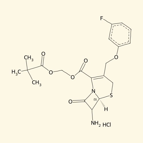 CC(C)(C)C(=O)OCOC(=O)C1=C(COc2cccc(F)c2)CS[C@H]2C(N)C(=O)N12.Cl